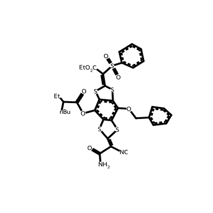 [C-]#[N+]/C(C(N)=O)=C1\Sc2c(OCc3ccccc3)c3c(c(OC(=O)C(CC)CCCC)c2S1)S/C(=C(\C(=O)OCC)S(=O)(=O)c1ccccc1)S3